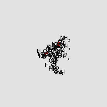 [C-]#[N+]c1cc(/C=C(\C(C)=O)C(=O)Nc2cccc(NC=O)c2)sc1/N=N/c1cc(OC)c(N(CC)CC)cc1Nc1nc(Nc2cc(N(CC)CC)c(OC)cc2/N=N/c2sc(/C=C(/C(C)=O)C(=O)Nc3cccc(C(N)=O)c3)c(S(=O)(=O)O)c2C#N)nc(Sc2cccc(S(=O)(=O)O)c2)n1